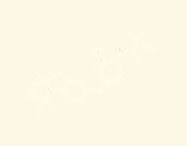 CC(=O)OC(C)(C)C(=O)Nc1ccc(Sc2ccc(N(S(C)(=O)=O)S(C)(=O)=O)cc2)cc1Cl